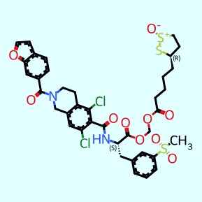 CS(=O)(=O)c1cccc(C[C@H](NC(=O)c2c(Cl)cc3c(c2Cl)CCN(C(=O)c2ccc4ccoc4c2)C3)C(=O)OCOC(=O)CCCC[C@@H]2CC[S+]([O-])S2)c1